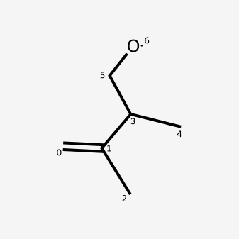 C=C(C)C(C)C[O]